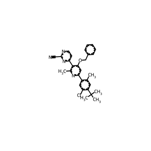 Cc1cc(C(C)(C)C)c(Cl)cc1-c1cc(OCc2ccccc2)c(-c2ccnc(C#N)n2)c(C)n1